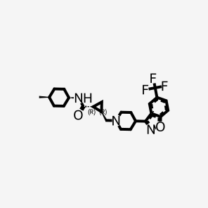 C[C@H]1CC[C@H](NC(=O)[C@@H]2C[C@H]2CN2CCC(c3noc4ccc(C(F)(F)F)cc34)CC2)CC1